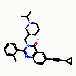 Cc1ccccc1-c1nc2ccc(C#CC3CC3)cc2c(=O)n1CC1CCCN(C(C)C)C1